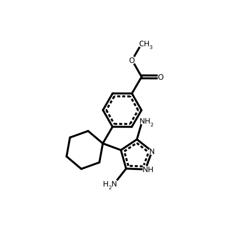 COC(=O)c1ccc(C2(c3c(N)n[nH]c3N)CCCCC2)cc1